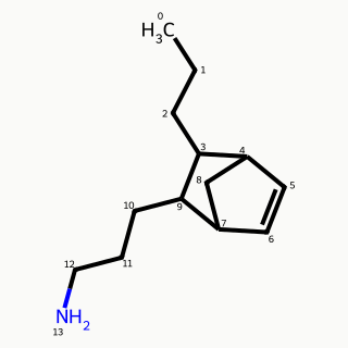 CCCC1C2C=CC(C2)C1CCCN